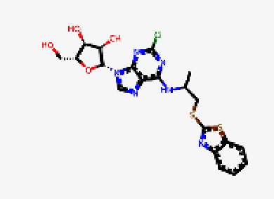 CC(CSc1nc2ccccc2s1)Nc1nc(Cl)nc2c1ncn2[C@@H]1O[C@H](CO)[C@@H](O)[C@H]1O